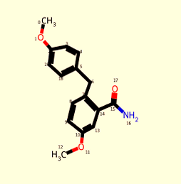 COc1ccc([CH]c2ccc(OC)cc2C(N)=O)cc1